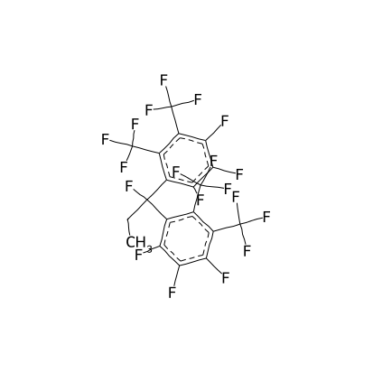 CCC(F)(c1c(F)c(F)c(F)c(C(F)(F)F)c1C(F)(F)F)c1c(F)c(F)c(F)c(C(F)(F)F)c1C(F)(F)F